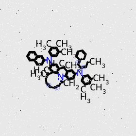 C=C1/C=C\C=C/CC(C)(C)c2cc(N(c3cc(C)c(C)c(C)c3)c3ccc4ccccc4c3)cc3c2N1c1ccc(N(C(/C=C2/C=CC=CC2)=C/CC)c2cc(C)c(C)c(C)c2)cc1C3(C)C